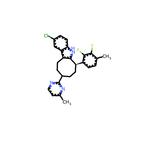 Cc1ccnc(C2CCc3c([nH]c4ccc(Cl)cc34)[C@@H](c3ccc(C)c(F)c3F)CC2)n1